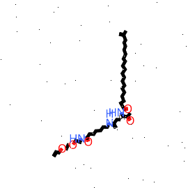 C=CCOCCOCCNC(=O)CCCCCCNC(=C)CC[C@H](NC(=O)CCCCCCCCCCCCCCCCCCC(=C)C)C(C)=O